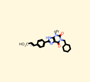 CCCn1c(=O)n(CC2CCCCC2)c(=O)c2nc(-c3ccc(/C=C/C(=O)O)cc3)[nH]c21